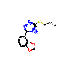 O=C(O)CSc1nnc(-c2cccc3c2OCO3)[nH]1